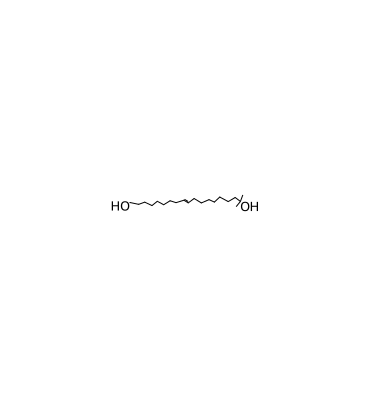 CC(C)(O)CCCCCCCC=CCCCCCCCCO